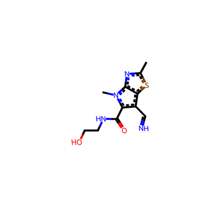 Cc1nc2c(s1)c(C=N)c(C(=O)NCCO)n2C